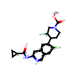 CC(C)(C)OC(=O)N1CCC(c2cc3cc(NC(=O)C4CC4)ncc3cc2Cl)C(F)C1